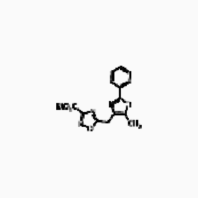 CCOC(=O)c1noc(Cc2nc(-c3ccccc3)oc2C)n1